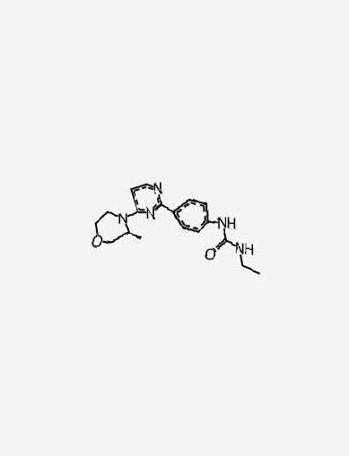 CCNC(=O)Nc1ccc(-c2nccc(N3CCOC[C@@H]3C)n2)cc1